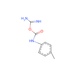 Cc1ccc(NC(=O)OC(=N)N)cc1